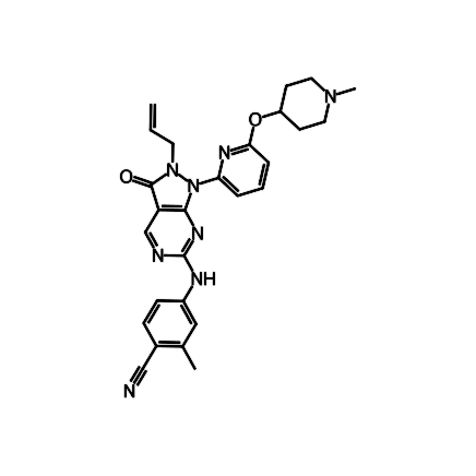 C=CCn1c(=O)c2cnc(Nc3ccc(C#N)c(C)c3)nc2n1-c1cccc(OC2CCN(C)CC2)n1